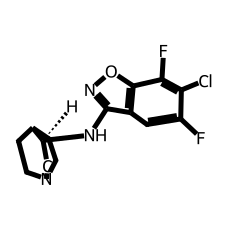 Fc1cc2c(N[C@H]3CN4CCC3CC4)noc2c(F)c1Cl